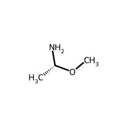 CO[C@H](C)N